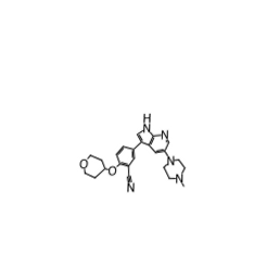 CN1CCN(c2cnc3[nH]cc(-c4ccc(OC5CCOCC5)c(C#N)c4)c3c2)CC1